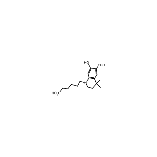 CC1(C)CCN(CCCCCC(=O)O)c2cc(O)c(C=O)cc21